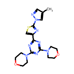 Cc1cnn(-c2nc(-c3nc(N4CCOCC4)nc(N4CCOCC4)n3)cs2)c1